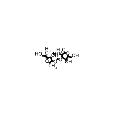 CC1OC(CO)[C@H](O)C(OCOC2C(C)O[C@@H]([C@H](C)CO)C2O)C1O